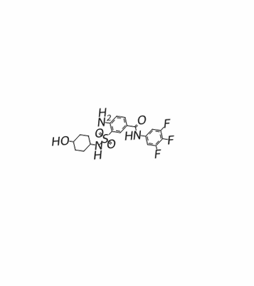 Nc1ccc(C(=O)Nc2cc(F)c(F)c(F)c2)cc1S(=O)(=O)NC1CCC(O)CC1